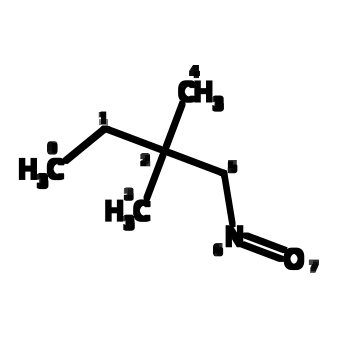 CCC(C)(C)CN=O